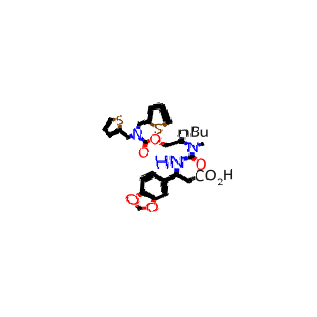 CCCCC(COC(=O)N(Cc1cccs1)Cc1cccs1)N(C)C(=O)NC(CC(=O)O)c1ccc2c(c1)OCO2